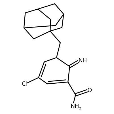 N=C1C(C(N)=O)=CC(Cl)=CC1CC12CC3CC(CC(C3)C1)C2